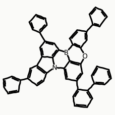 c1ccc(-c2ccc3c(c2)Oc2cc(-c4ccccc4-c4ccccc4)cc4c2B3c2cc(-c3ccccc3)cc3c5cc(-c6ccccc6)ccc5n-4c23)cc1